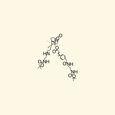 C[C@@H]1CC[C@@]23CC[C@@H](OC=O)[C@H]2[C@]1(C)[C@H](OC(=O)CSc1ccc(CC(=O)NCCCNC(=O)OC(C)(C)C)cc1)C[C@](C)(CCNCCCNC(=O)OC(C)(C)C)C[C@@H]3C